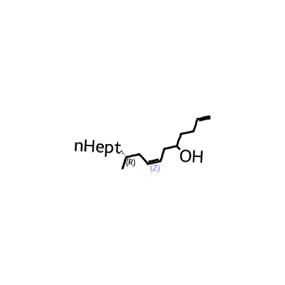 C=CCCC(O)C/C=C\C[C@H](C)CCCCCCC